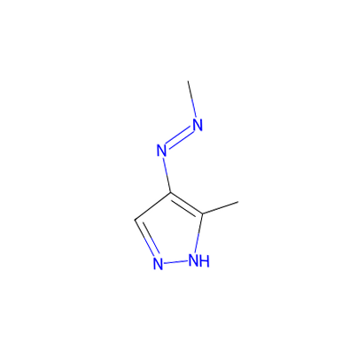 CN=Nc1cn[nH]c1C